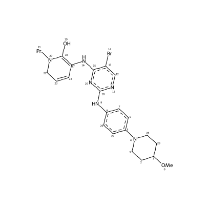 COC1CCN(c2ccc(Nc3ncc(Br)c(NC4=C(O)N(C(C)C)CC=C4)n3)cc2)CC1